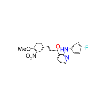 COc1ccc(C=CC(=O)c2cccnc2Nc2ccc(F)cc2)cc1[N+](=O)[O-]